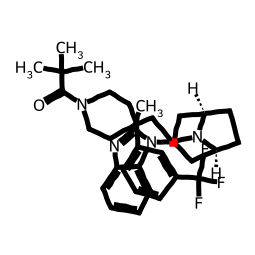 Cc1nc2ccccc2n1C1C[C@H]2CC[C@@H](C1)N2CCC1(c2cccc(C(F)(F)F)c2)CCN(C(=O)C(C)(C)C)CC1